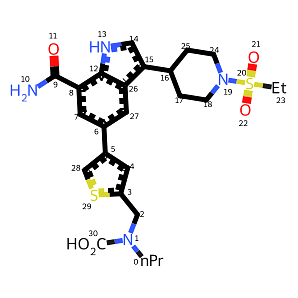 CCCN(Cc1cc(-c2cc(C(N)=O)c3[nH]cc(C4CCN(S(=O)(=O)CC)CC4)c3c2)cs1)C(=O)O